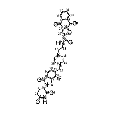 O=C1CCC(N2Cc3c(ccc(CN4CCN(CCNC(=O)c5cc6c(o5)C(=O)c5ccccc5C6=O)CC4)c3F)C2=O)C(=O)N1